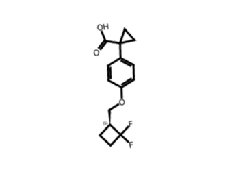 O=C(O)C1(c2ccc(OC[C@@H]3CCC3(F)F)cc2)CC1